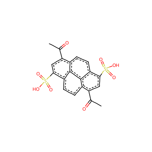 CC(=O)c1cc(S(=O)(=O)O)c2ccc3c(C(C)=O)cc(S(=O)(=O)O)c4ccc1c2c34